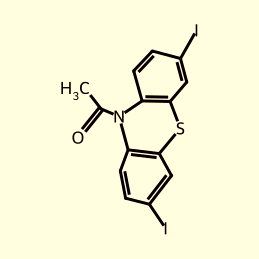 CC(=O)N1c2ccc(I)cc2Sc2cc(I)ccc21